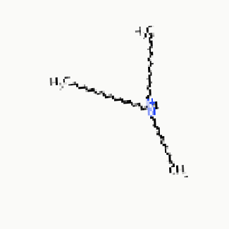 CCCCCCCCCCCCCCCCCCC1N(CCCCCCCCCCCCC)C=CN1CCCCCCCCCCCCCCC